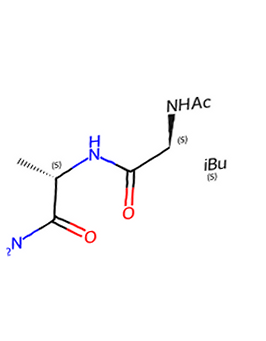 CC[C@H](C)[C@H](NC(C)=O)C(=O)N[C@@H](C)C(N)=O